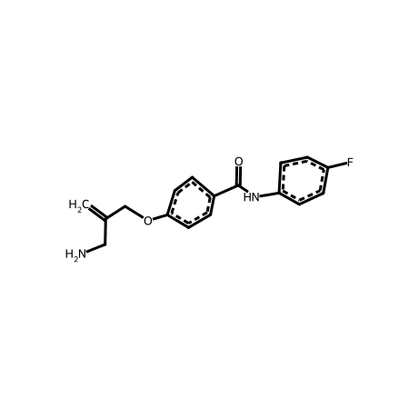 C=C(CN)COc1ccc(C(=O)Nc2ccc(F)cc2)cc1